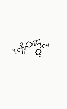 CC(=O)N[C@H]1CC[C@@H](C[C@@H]2CC[C@H]([C@H](O)c3cccc(F)c3)N2)CC1